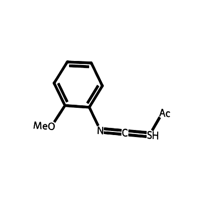 COc1ccccc1N=C=[SH]C(C)=O